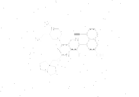 C#Cc1cccc2cc(O)cc(-c3ncc4c(N5CCN(C#N)[C@@H](CC#N)C5)nc(OCC56CCCN5CCC6)nc4c3F)c12